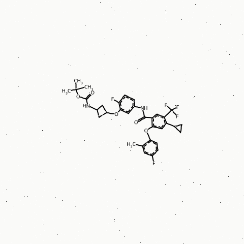 Cc1cc(F)ccc1Oc1cc(C2CC2)c(C(F)(F)F)cc1C(=O)Nc1ccc(F)c(OC2CC(NC(=O)OC(C)(C)C)C2)c1